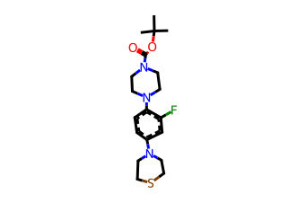 CC(C)(C)OC(=O)N1CCN(c2ccc(N3CCSCC3)cc2F)CC1